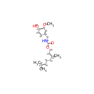 COc1cc(CNC(=O)OC/C=C(\C)CCC=C(C)C)ccc1O